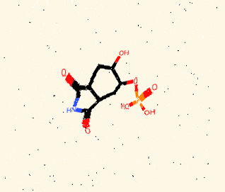 O=C1NC(=O)C2CC(OP(=O)(O)O)C(O)CC12